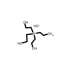 CCC[N+](CCO)(CCO)CCO.[OH-]